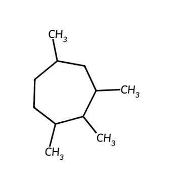 CC1CCC(C)C(C)C(C)C1